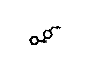 C[C](C)CN1CCC(Nc2ccccc2)CC1